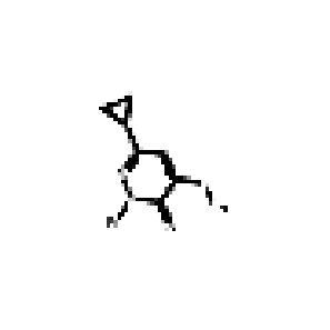 CC(C)n1nc(C2CC2)cc(SC#N)c1=O